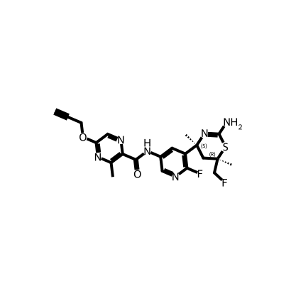 C#CCOc1cnc(C(=O)Nc2cnc(F)c([C@]3(C)C[C@](C)(CF)SC(N)=N3)c2)c(C)n1